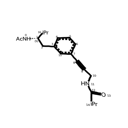 CC(=O)N[C@@H](Cc1cccc(C#CCNC(=O)C(C)C)c1)C(C)C